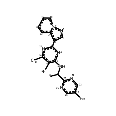 CC(Nc1nc(-c2cnn3ccccc23)nc(Cl)c1F)c1ncc(F)cn1